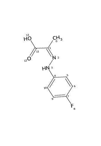 CC(=NNc1ccc(F)cc1)C(=O)O